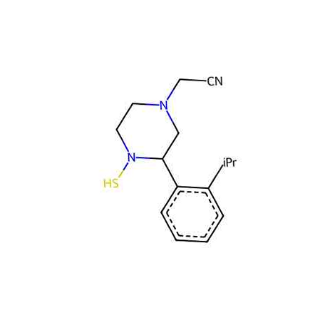 CC(C)c1ccccc1C1CN(CC#N)CCN1S